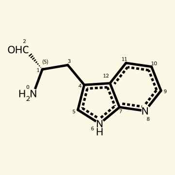 N[C@H](C=O)Cc1c[nH]c2ncccc12